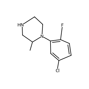 CC1CNCCN1c1cc(Cl)ccc1F